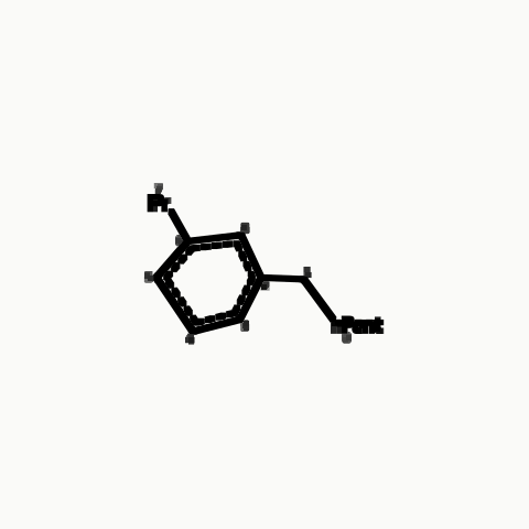 [CH2]CCCCCc1cccc(C(C)C)c1